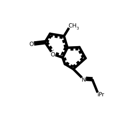 Cc1cc(=O)oc2cc(/N=C/C(C)C)ccc12